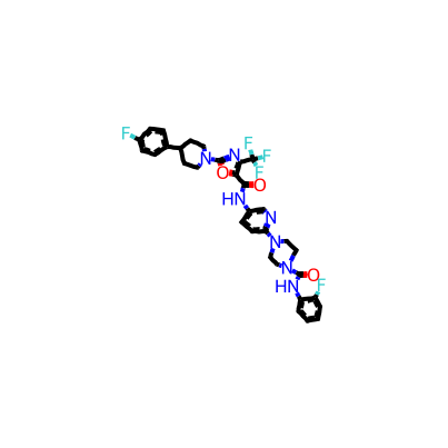 O=C(Nc1ccc(N2CCN(C(=O)Nc3ccccc3F)CC2)nc1)c1oc(N2CCC(c3ccc(F)cc3)CC2)nc1C(F)(F)F